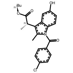 CC[C@H](C)OC(=O)[C@@H](C)c1c(C)n(C(=O)c2ccc(Cl)cc2)c2ccc(O)cc12